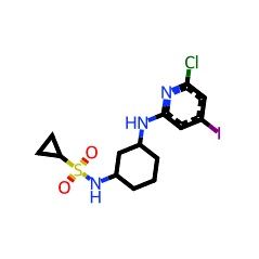 O=S(=O)(NC1CCCC(Nc2cc(I)cc(Cl)n2)C1)C1CC1